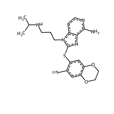 CC(C)NCCCn1c(Sc2cc3c(cc2[124I])OCCO3)nc2c(N)nccc21